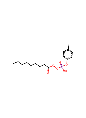 CCCCCCCCC(=O)OOP(=O)(O)Oc1ccc(C)cc1